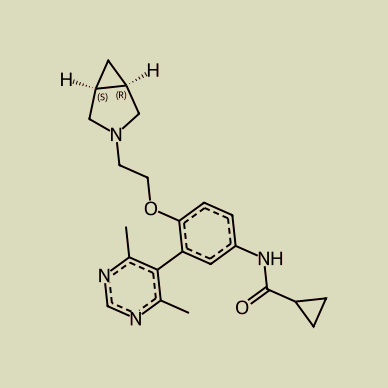 Cc1ncnc(C)c1-c1cc(NC(=O)C2CC2)ccc1OCCN1C[C@H]2C[C@H]2C1